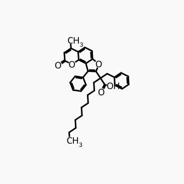 CCCCCCCCCCC(Cc1ccccc1)(C(=O)O)c1oc2ccc3c(C)cc(=O)oc3c2c1-c1ccccc1